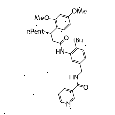 CCCCCC(CC(=O)Nc1cc(CNC(=O)c2cccnc2)ccc1C(C)(C)C)c1ccc(OC)cc1OC